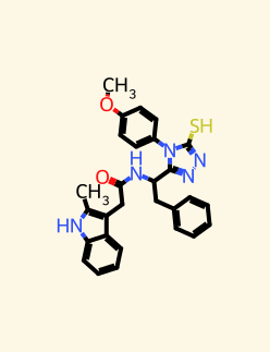 COc1ccc(-n2c(S)nnc2C(Cc2ccccc2)NC(=O)Cc2c(C)[nH]c3ccccc23)cc1